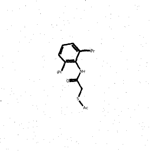 CC(=O)SCC(=O)Nc1c(C(C)C)cccc1C(C)C